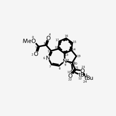 COC(=O)C(=O)C1=NC=C[N@@+]2(COC(C)(C)C)c3c(cccc31)CC2C(=O)OC(C)(C)C